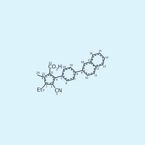 CCc1c(C#N)c(-c2ccc(-c3ccc4ccccc4c3)cc2)c(C(=O)O)n1C